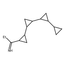 CCC(=N)C1CC1C1CC1C1CC1C1CC1